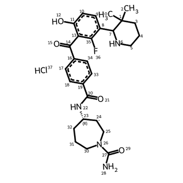 CC1(C)CCCNC1c1ccc(O)c(C(=O)c2ccc(C(=O)N[C@@H]3[CH]CN(C(N)=O)CCC3)cc2)c1F.Cl